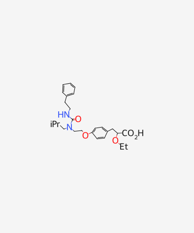 CCOC(Cc1ccc(OCCN(CC(C)C)C(=O)NCCc2ccccc2)cc1)C(=O)O